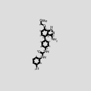 CCc1cccc(NC(=O)Nc2ccc(-c3ccc(OCOC)c4[nH]nc(N)c34)cc2)c1